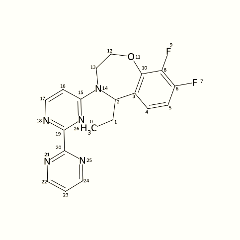 CCC1c2ccc(F)c(F)c2OCCN1c1ccnc(-c2ncccn2)n1